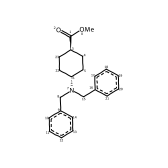 COC(=O)[C@H]1CC[C@H](N(Cc2ccccc2)Cc2ccccc2)CC1